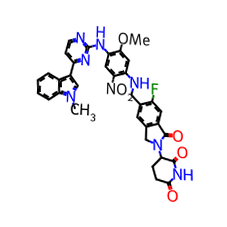 COc1cc(NCc2cc3c(cc2F)C(=O)N(C2CCC(=O)NC2=O)C3)c([N+](=O)[O-])cc1Nc1nccc(-c2cn(C)c3ccccc23)n1